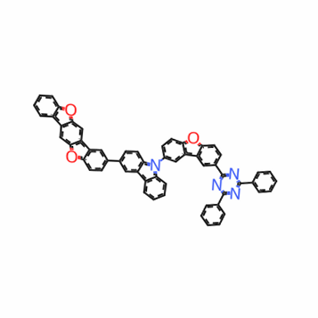 c1ccc(-c2nc(-c3ccccc3)nc(-c3ccc4oc5ccc(-n6c7ccccc7c7cc(-c8ccc9oc%10cc%11c(cc%10c9c8)oc8ccccc8%11)ccc76)cc5c4c3)n2)cc1